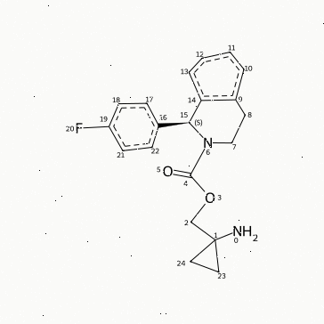 NC1(COC(=O)N2CCc3ccccc3[C@@H]2c2ccc(F)cc2)CC1